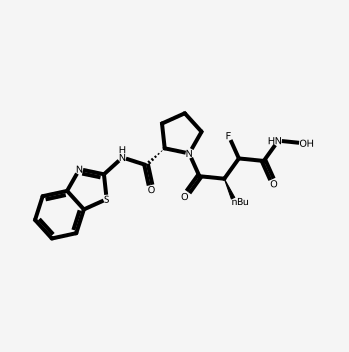 CCCC[C@@H](C(=O)N1CCC[C@H]1C(=O)Nc1nc2ccccc2s1)C(F)C(=O)NO